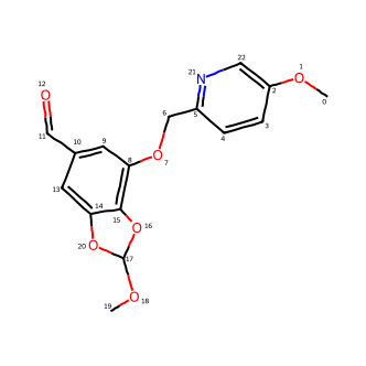 COc1ccc(COc2cc(C=O)cc3c2OC(OC)O3)nc1